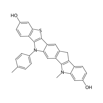 Cc1ccc(-n2c3cc4c(cc3c3sc5cc(O)ccc5c32)Cc2c-4n(C)c3cc(O)ccc23)cc1